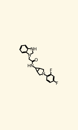 O=C(CN1CNc2ccccc21)NC1C2CN(c3ccc(F)cc3F)CC21